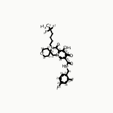 CC(F)(F)CCCCN1C(=O)c2c(O)c(=O)c(C(=O)NCc3ccc(F)cc3F)cn2CC12CCOCC2